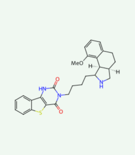 COc1cccc2c1[C@@H]1C(CCCCn3c(=O)[nH]c4c(sc5ccccc54)c3=O)NC[C@@H]1CC2